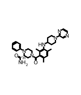 Cc1cc(C)c(C(=O)N2CCN(c3cc#ccc3)[C@@H](C(N)=O)C2)c(C)c1NC1CCN(c2cnccn2)CC1